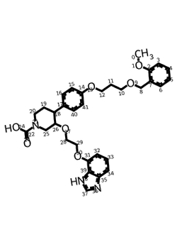 COc1ccccc1COCCCOc1ccc(C2CCN(C(=O)O)CC2OCCOc2cccc3nc[nH]c23)cc1